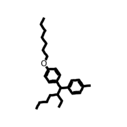 CCCCCCCOc1ccc(C(c2ccc(C)cc2)C(CC)CCCC)cc1